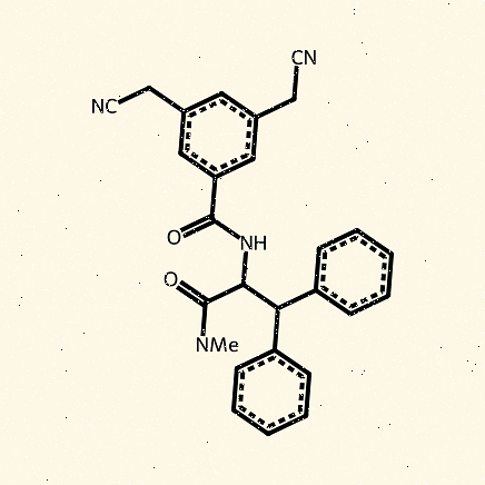 CNC(=O)C(NC(=O)c1cc(CC#N)cc(CC#N)c1)C(c1ccccc1)c1ccccc1